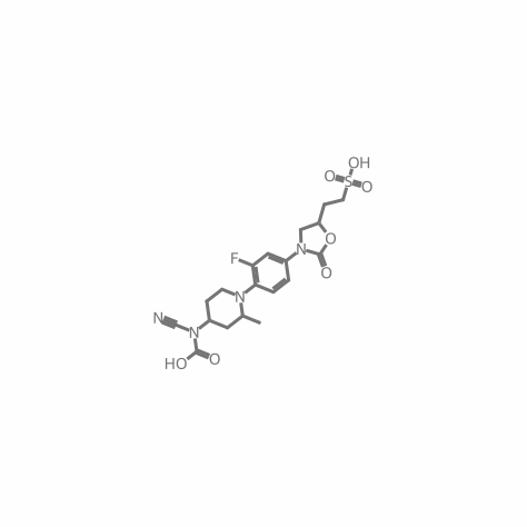 CC1CC(N(C#N)C(=O)O)CCN1c1ccc(N2CC(CCS(=O)(=O)O)OC2=O)cc1F